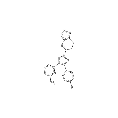 Nc1nccc(-c2cn(C3=Nn4cnnc4CC3)nc2-c2ccc(F)cc2)n1